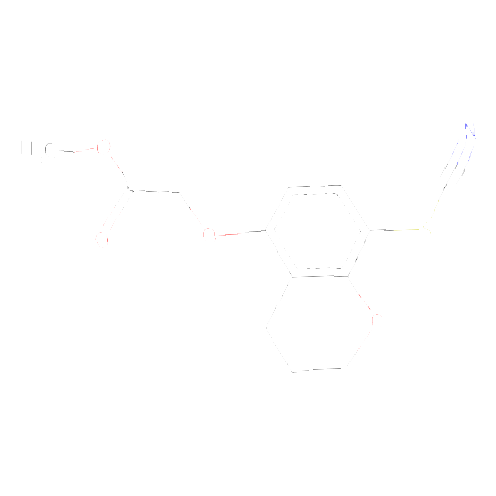 COC(=O)COc1ccc(SC#N)c2c1CCCO2